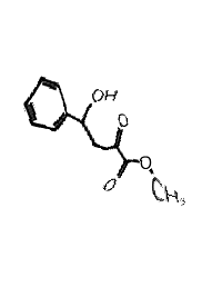 COC(=O)C(=O)CC(O)c1ccccc1